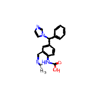 C/N=C\c1cc(C(c2ccccc2)n2ccnc2)ccc1NC(=O)O